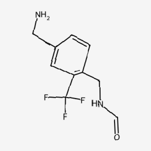 NCc1ccc(CNC=O)c(C(F)(F)F)c1